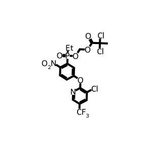 CCP(=O)(OCOC(=O)C(C)(Cl)Cl)c1cc(Oc2ncc(C(F)(F)F)cc2Cl)ccc1[N+](=O)[O-]